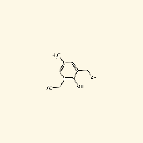 CC(=O)Cc1cc(C)cc(CC(C)=O)c1O